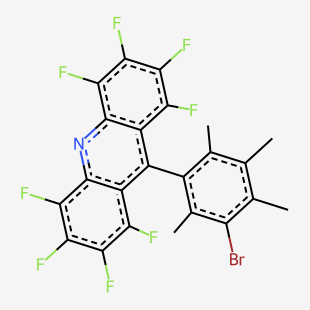 Cc1c(C)c(Br)c(C)c(-c2c3c(F)c(F)c(F)c(F)c3nc3c(F)c(F)c(F)c(F)c23)c1C